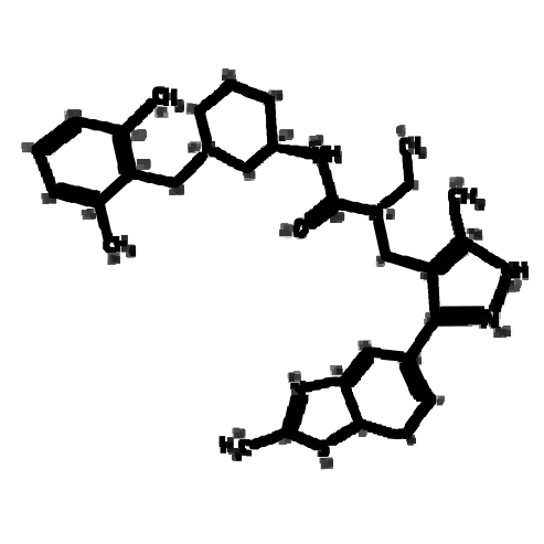 CCN(Cc1c(C2=CCC3SC(C)=NC3=C2)n[nH]c1C)C(=O)N[C@@H]1CCCN(Cc2c(C)cccc2C)C1